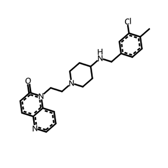 Cc1ccc(CNC2CCN(CCn3c(=O)ccc4ncccc43)CC2)cc1Cl